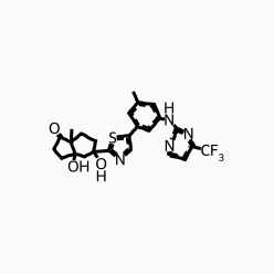 Cc1cc(Nc2nccc(C(F)(F)F)n2)cc(-c2cnc(C3(O)CCC4(C)C(=O)CCC4(O)C3)s2)c1